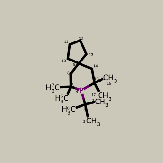 CC(C)(C)P1C(C)(C)CC2(CCCC2)CC1(C)C